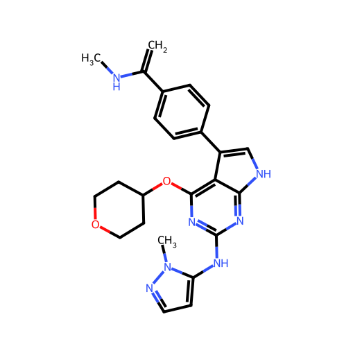 C=C(NC)c1ccc(-c2c[nH]c3nc(Nc4ccnn4C)nc(OC4CCOCC4)c23)cc1